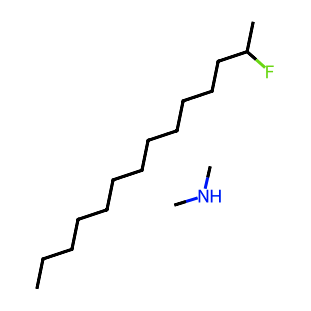 CCCCCCCCCCCCC(C)F.CNC